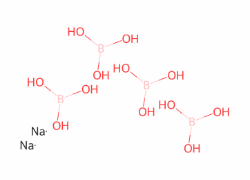 OB(O)O.OB(O)O.OB(O)O.OB(O)O.[Na].[Na]